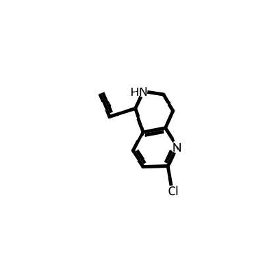 C=CC1NCCc2nc(Cl)ccc21